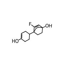 OC1=CCC(C23CCC(O)(C=C2F)CC3)CC1